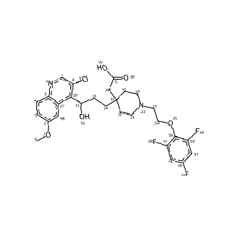 COc1ccc2ncc(Cl)c(C(O)CCC3(CC(=O)O)CCN(CCOc4c(F)cc(F)cc4F)CC3)c2c1